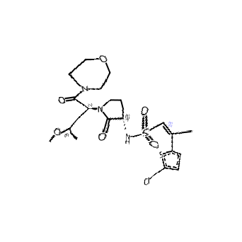 CO[C@H](C)[C@@H](C(=O)N1CCOCC1)N1CC[C@H](NS(=O)(=O)/C=C(/C)c2ccc(Cl)s2)C1=O